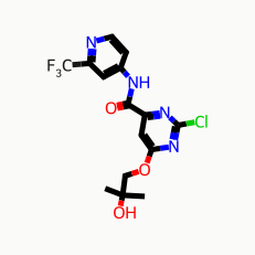 CC(C)(O)COc1cc(C(=O)Nc2ccnc(C(F)(F)F)c2)nc(Cl)n1